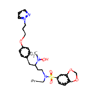 CC(C)CN(CCC(Cc1ccc(OCCCn2cccn2)cc1)N(O)C(=O)O)S(=O)(=O)c1ccc2c(c1)OCO2